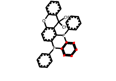 CC1(C)c2ccccc2Oc2ccc(P(c3ccccc3)c3ccccc3)c(P(c3ccccc3)c3ccccc3)c21